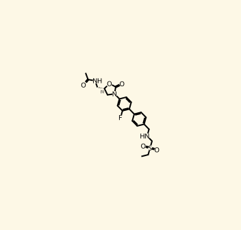 CCS(=O)(=O)CNCc1ccc(-c2ccc(N3C[C@H](CNC(C)=O)OC3=O)cc2F)cc1